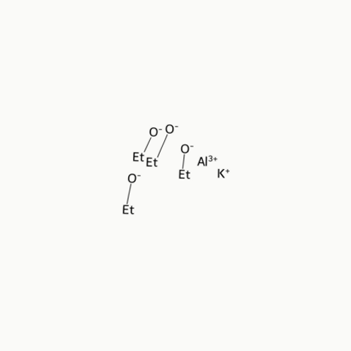 CC[O-].CC[O-].CC[O-].CC[O-].[Al+3].[K+]